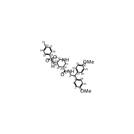 COc1ccc(C(CNC(=O)[C@@H]2CNC[C@H](NS(=O)(=O)c3ccc(C)cc3)C2)c2ccc(OC)cc2)cc1